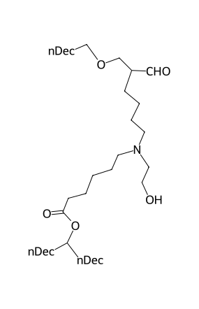 CCCCCCCCCCCOCC(C=O)CCCCN(CCO)CCCCCC(=O)OC(CCCCCCCCCC)CCCCCCCCCC